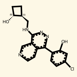 Oc1cc(Cl)ccc1-c1nnc(NC[C@@H]2CC[C@H]2O)c2cnccc12